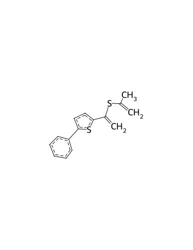 C=C(C)SC(=C)c1ccc(-c2ccccc2)s1